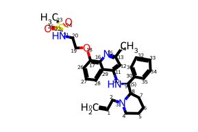 C=CCN1CCCCC1[C@@H](Nc1cc(C)nc2c(OCCNS(C)(=O)=O)cccc12)c1ccccc1